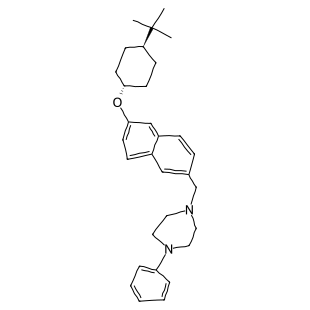 CC(C)(C)[C@H]1CC[C@H](Oc2ccc3cc(CN4CCN(c5ccccc5)CC4)ccc3c2)CC1